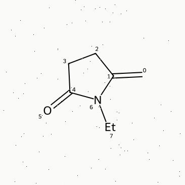 C=C1CCC(=O)N1CC